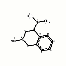 CN(C)C1CN(C(C)(C)C)Cc2ccccc21